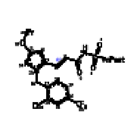 CCCCCS(=O)(=O)NC(=O)/C=C/c1cc(OC(C)C)nn1Cc1ccc(C(F)(F)F)cc1Cl